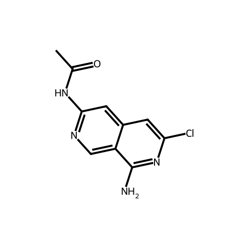 CC(=O)Nc1cc2cc(Cl)nc(N)c2cn1